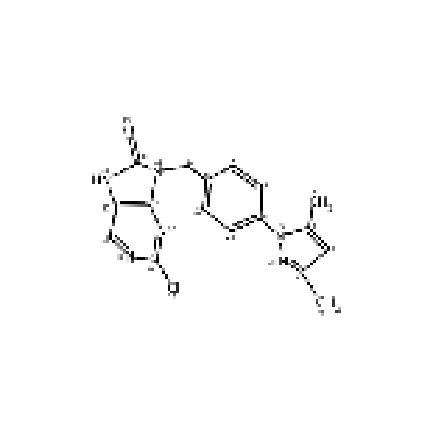 Cc1cc(C)n(-c2ccc(Cn3c(=O)[nH]c4cnc(Cl)nc43)cc2)n1